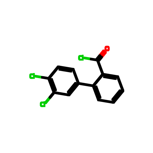 O=C(Cl)c1ccccc1-c1ccc(Cl)c(Cl)c1